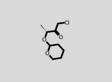 C[C@@H](OC1CCCCO1)C(=O)CCl